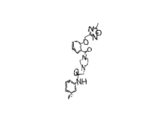 Cc1nc(COc2ccccc2C(=O)N2CCN(CC(=O)Nc3cccc(F)c3)CC2)no1